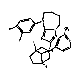 Fc1ccc(N2CCCCn3nc(NC4[C@@H]5CC[C@H]4CN(c4ccnc(C(F)(F)F)c4)C5)nc32)cc1F